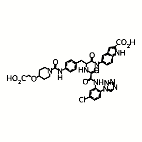 O=C(O)COC1CCN(C(=O)Nc2ccc(CC(NC(=O)C(=O)Nc3cc(Cl)ccc3-n3cnnn3)C(=O)Nc3ccc4[nH]c(C(=O)O)cc4c3)cc2)CC1